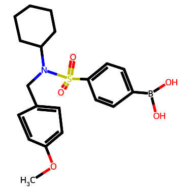 COc1ccc(CN(C2CCCCC2)S(=O)(=O)c2ccc(B(O)O)cc2)cc1